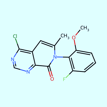 COc1cccc(F)c1-n1c(C)cc2c(Cl)ncnc2c1=O